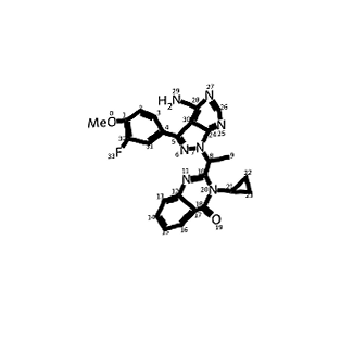 COc1ccc(-c2nn(C(C)c3nc4ccccc4c(=O)n3C3CC3)c3ncnc(N)c23)cc1F